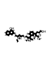 CCn1nc(CSCc2c(-c3c(F)ccc4c(CCCO)c(C(=O)OC)n(C)c34)c(C)nn2C)cc1CSc1cc(O)c2ccccc2c1